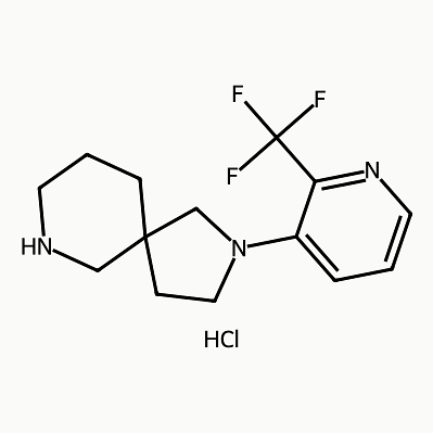 Cl.FC(F)(F)c1ncccc1N1CCC2(CCCNC2)C1